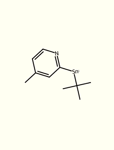 Cc1ccn[c]([Sn][C](C)(C)C)c1